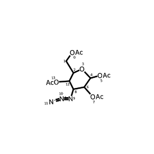 CC(=O)OCC1OC(OC(C)=O)C(OC(C)=O)C(N=[N+]=[N-])C1OC(C)=O